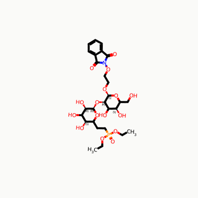 CCOP(=O)(CCC1O[C@H](O[C@@H]2C(O)[C@H](O)C(CO)O[C@@H]2OCCON2C(=O)c3ccccc3C2=O)[C@H](O)C(O)[C@@H]1O)OCC